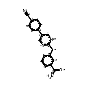 N#Cc1ccc(-c2cnc(Cc3cccc(C(N)=O)c3)nc2)cc1